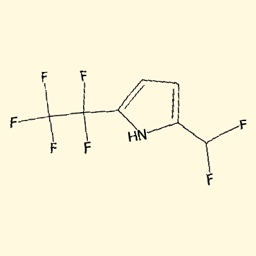 FC(F)c1ccc(C(F)(F)C(F)(F)F)[nH]1